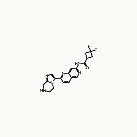 O=C(Nc1cc2nc(-c3cnc4n3CCNC4)ccc2cn1)C1CC(F)(F)C1